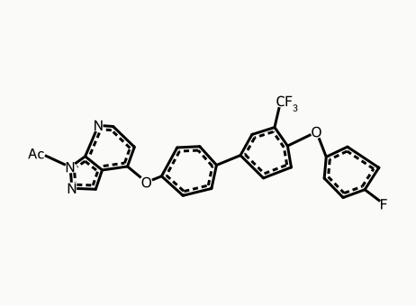 CC(=O)n1ncc2c(Oc3ccc(-c4ccc(Oc5ccc(F)cc5)c(C(F)(F)F)c4)cc3)ccnc21